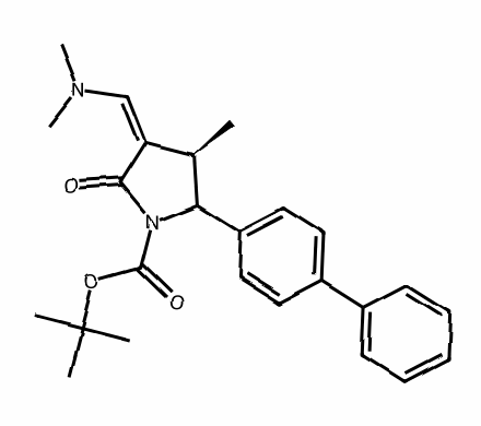 C[C@@H]1/C(=C/N(C)C)C(=O)N(C(=O)OC(C)(C)C)C1c1ccc(-c2ccccc2)cc1